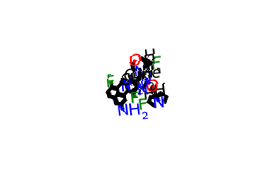 [2H]C([2H])(Oc1nc(N2CCOC[C@H]3[C@H](F)[C@H]32)c2c(OC)nc(-c3cc(N)cc4ccc(F)c(C#C)c34)c(F)c2n1)[C@@]12CCCN1C[C@H](F)C2